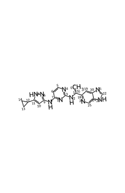 C[C@H](Nc1nccc(Nc2cc(C3CC3)[nH]n2)n1)c1cc2nc[nH]c2cn1